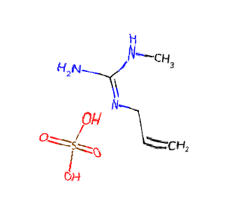 C=CC/N=C(/N)NC.O=S(=O)(O)O